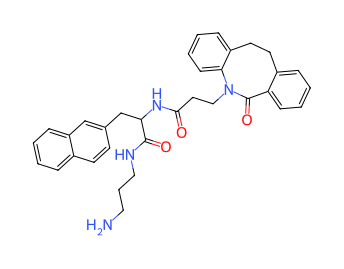 NCCCNC(=O)C(Cc1ccc2ccccc2c1)NC(=O)CCN1C(=O)c2ccccc2CCc2ccccc21